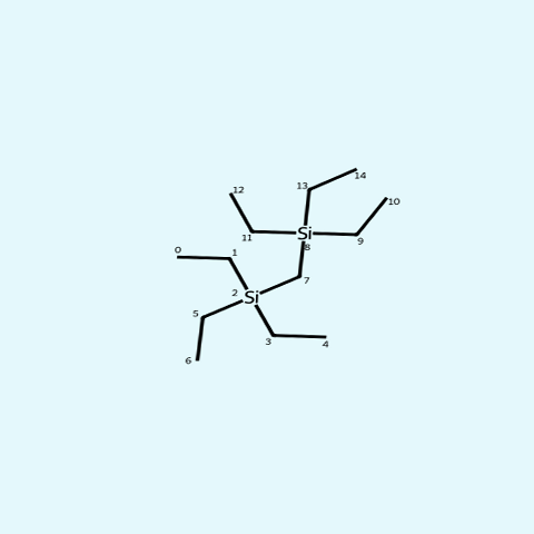 CC[Si](CC)(CC)C[Si](CC)(CC)CC